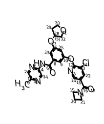 Cc1cnc(NC(=O)c2cc(Oc3ncc(C(=O)N4CCC4)cc3Cl)cc(O[C@H]3CCOC3)c2)cn1